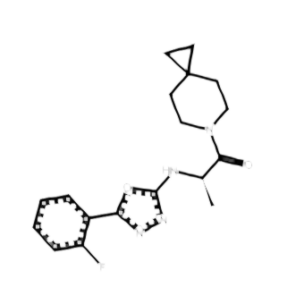 C[C@@H](Nc1nnc(-c2ccccc2F)o1)C(=O)N1CCC2(CC1)CC2